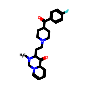 CN1CN2C=CC=CC2C(=O)C1CCN1CCC(C(=O)c2ccc(F)cc2)CC1